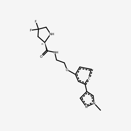 Cn1cc(-c2c[c]cc(OCCNC(=O)[C@H]3CC(F)(F)CN3)c2)cn1